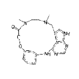 CN1CCN(C)C(=O)COc2cccc(c2)Nc2ncnc3[nH]cc(c23)C1